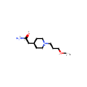 COCCCN1CCC(CC(N)=O)CC1